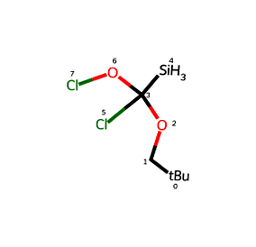 CC(C)(C)COC([SiH3])(Cl)OCl